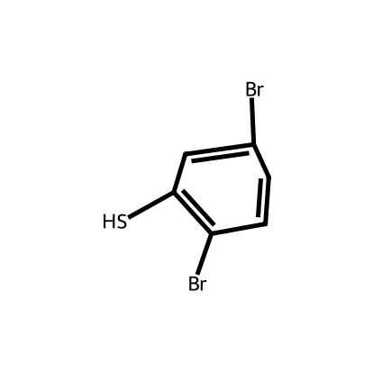 Sc1cc(Br)ccc1Br